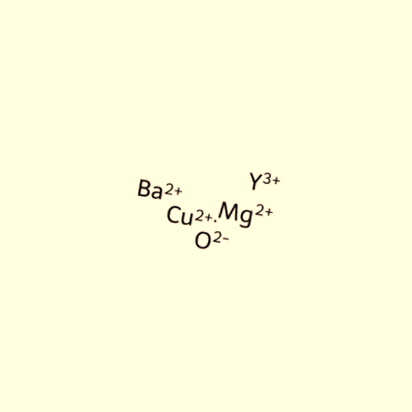 [Ba+2].[Cu+2].[Mg+2].[O-2].[Y+3]